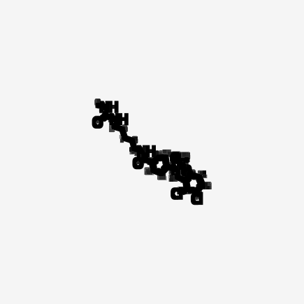 CNC(=O)NCCCCCNC(=O)c1ccc(N(Cc2cccc(Cl)c2Cl)S(C)(=O)=O)cc1